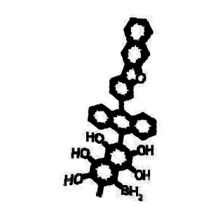 Bc1c(C)c(O)c(O)c2c(O)c(-c3c4ccccc4c(-c4ccc5c(c4)oc4cc6ccccc6cc45)c4ccccc34)c(O)c(O)c12